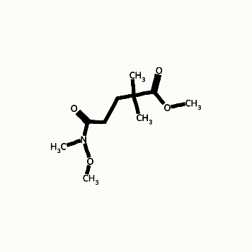 COC(=O)C(C)(C)CCC(=O)N(C)OC